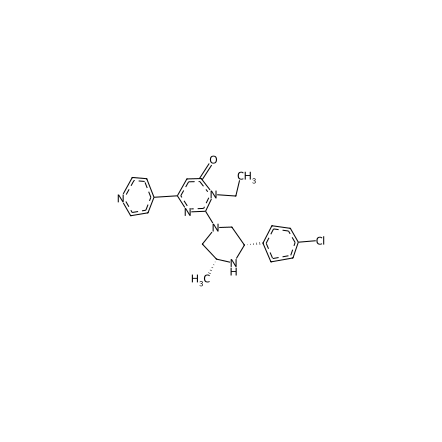 CCn1c(N2C[C@@H](C)N[C@@H](c3ccc(Cl)cc3)C2)nc(-c2ccncc2)cc1=O